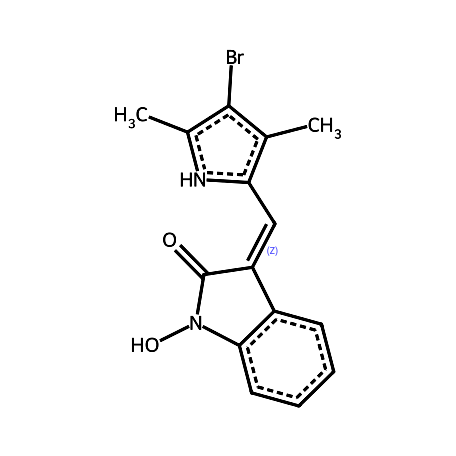 Cc1[nH]c(/C=C2\C(=O)N(O)c3ccccc32)c(C)c1Br